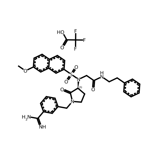 COc1ccc2ccc(S(=O)(=O)N(CC(=O)NCCc3ccccc3)[C@H]3CCN(Cc4cccc(C(=N)N)c4)C3=O)cc2c1.O=C(O)C(F)(F)F